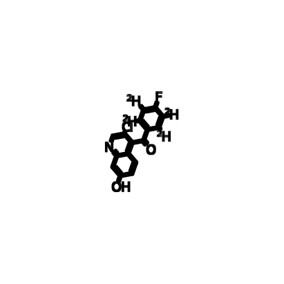 [2H]c1c([2H])c(C(=O)c2c(Cl)cnc3cc(O)ccc23)c([2H])c([2H])c1F